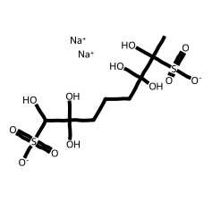 CC(O)(C(O)(O)CCCC(O)(O)C(O)S(=O)(=O)[O-])S(=O)(=O)[O-].[Na+].[Na+]